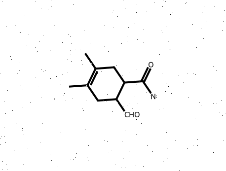 CC1=C(C)CC(C([N])=O)C(C=O)C1